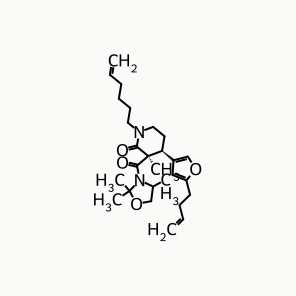 C=CCCCCN1CC[C@@H](c2coc(CCC=C)c2)[C@@](C)(C(=O)N2C(C)COC2(C)C)C1=O